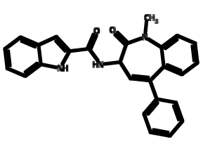 CN1C(=O)C(NC(=O)c2cc3ccccc3[nH]2)C=C(c2ccccc2)c2ccccc21